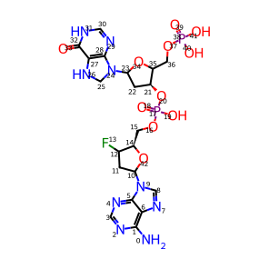 Nc1ncnc2c1ncn2C1CC(F)[C@@H](COP(=O)(O)O[C@H]2CC(N3CNc4c3nc[nH]c4=O)OC2COP(=O)(O)O)O1